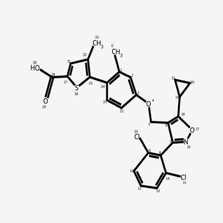 Cc1cc(OCc2c(-c3c(Cl)cccc3Cl)noc2C2CC2)ccc1-c1sc(C(=O)O)cc1C